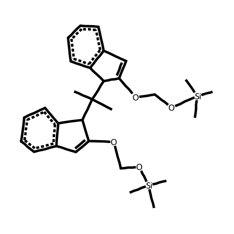 CC(C)(C1C(OCO[Si](C)(C)C)=Cc2ccccc21)C1C(OCO[Si](C)(C)C)=Cc2ccccc21